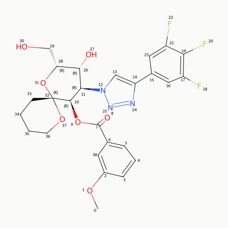 COc1cccc(C(=O)O[C@@H]2[C@H](n3cc(-c4cc(F)c(F)c(F)c4)nn3)[C@@H](O)[C@@H](CO)O[C@]23CCCCO3)c1